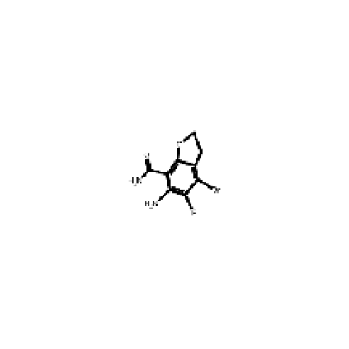 NC(=O)c1c(N)c(F)c(Br)c2c1OCC2